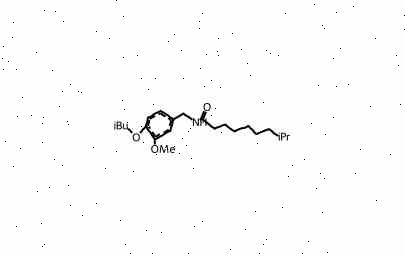 CCC(C)Oc1ccc(CNC(=O)CCCCCCC(C)C)cc1OC